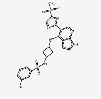 CS(=O)(=O)c1coc(-c2cnc3[nH]ccc3c2NC2CC(NS(=O)(=O)c3cccc(C#N)c3)C2)n1